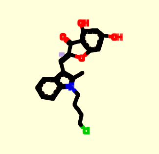 Cc1c(/C=C2\Oc3cc(O)cc(O)c3C2=O)c2ccccc2n1CCCCCl